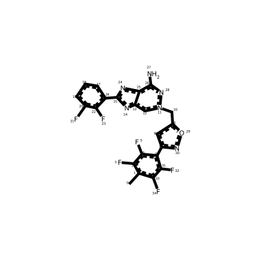 Cc1c(F)c(F)c(-c2cc(Cn3cc4nc(-c5cccc(F)c5F)nc-4c(N)n3)on2)c(F)c1F